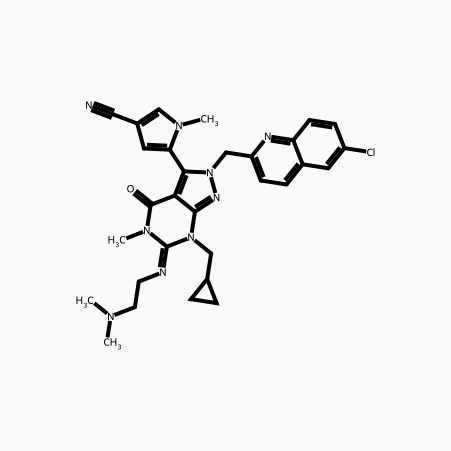 CN(C)CC/N=c1\n(C)c(=O)c2c(-c3cc(C#N)cn3C)n(Cc3ccc4cc(Cl)ccc4n3)nc2n1CC1CC1